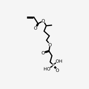 C=CC(=O)OC(C)CCCOC(=O)CCP(=O)(O)O